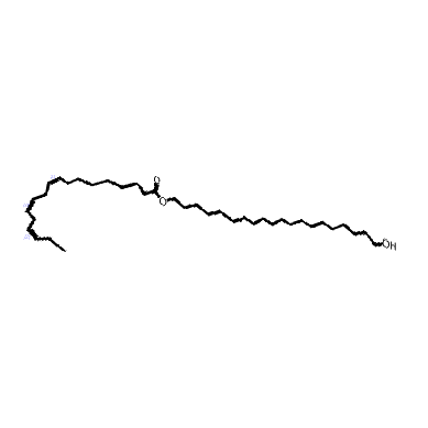 CC/C=C\C/C=C\C/C=C\CCCCCCCC(=O)OCCCCCCCCCCCCCCCCCCCCO